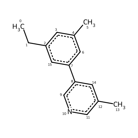 CCc1cc(C)cc(-c2cncc(C)c2)c1